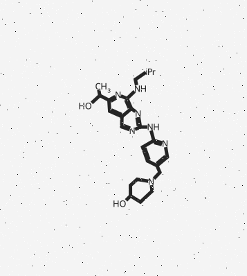 CC(C)CNc1nc(C(C)O)cc2cnc(Nc3ccc(CN4CCC(O)CC4)cn3)nc12